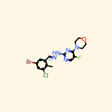 Cc1c(Cl)cc(Br)cc1/C=N/Nc1ncc(F)c(N2CCOCC2)n1